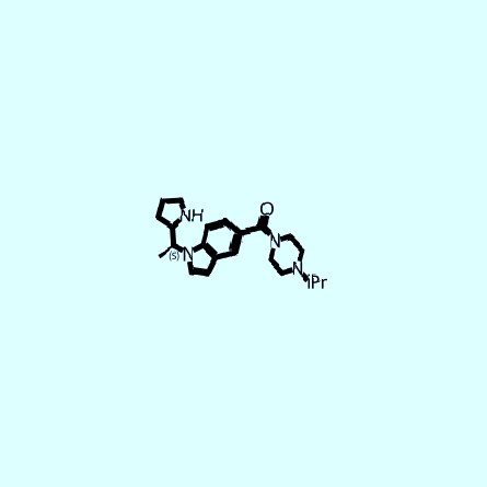 CC(C)N1CCN(C(=O)c2ccc3c(ccn3[C@@H](C)C3CCCN3)c2)CC1